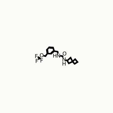 O=C(NCc1cccc(COC(F)(F)F)c1)NC1CC2(CCC2)C1